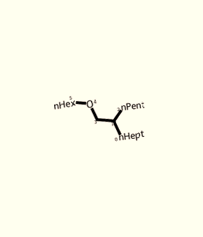 CCCCCCCC(CCCCC)COCCCCCC